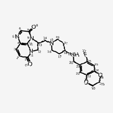 O=c1ccc2ncc(=O)n3c2n1CC3CN1CCC(NCc2cc3c(cc2F)OCCO3)CC1